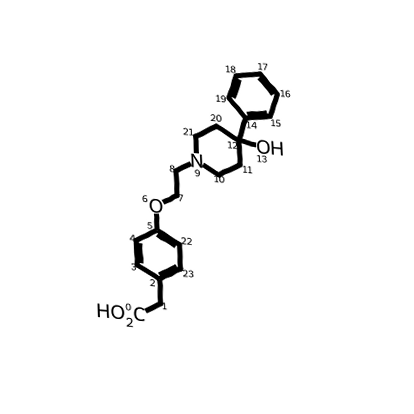 O=C(O)Cc1ccc(OCCN2CCC(O)(c3ccccc3)CC2)cc1